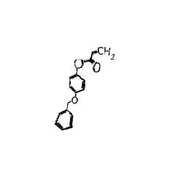 C=CC(=O)Oc1ccc(OCc2ccccc2)cc1